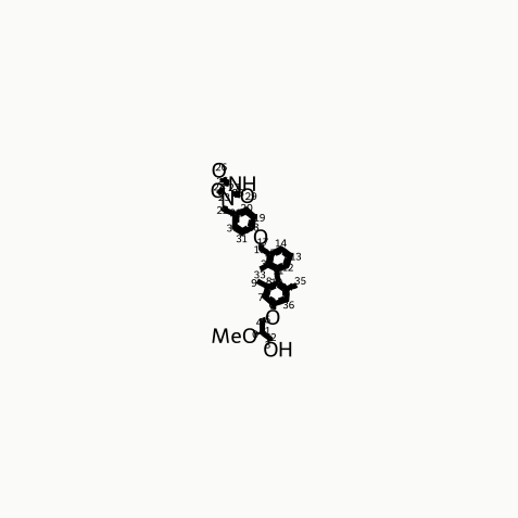 CO[C@H](CO)COc1cc(C)c(-c2cccc(COc3ccc(Cn4oc(=O)[nH]c4=O)cc3)c2C)c(C)c1